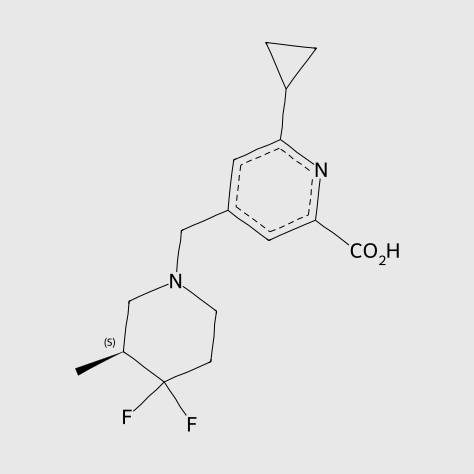 C[C@H]1CN(Cc2cc(C(=O)O)nc(C3CC3)c2)CCC1(F)F